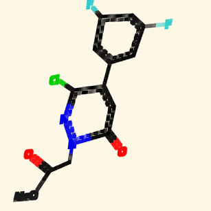 COC(=O)Cn1nc(Cl)c(-c2cc(F)cc(F)c2)cc1=O